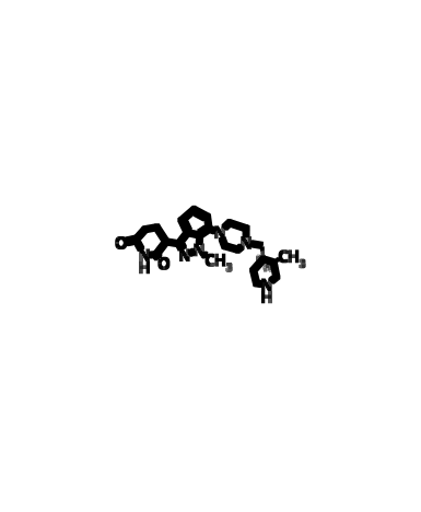 C[C@@H]1CNCC[C@@H]1CN1CCN(c2cccc3c(C4CCC(=O)NC4=O)nn(C)c23)CC1